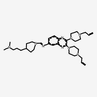 C=CCN1CCN(c2nc3ccc(/N=C/N4CCC(CCCN(C)C)CC4)cc3nc2N2CCN(CC=C)CC2)CC1